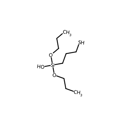 CCCO[Si](O)(CCCS)OCCC